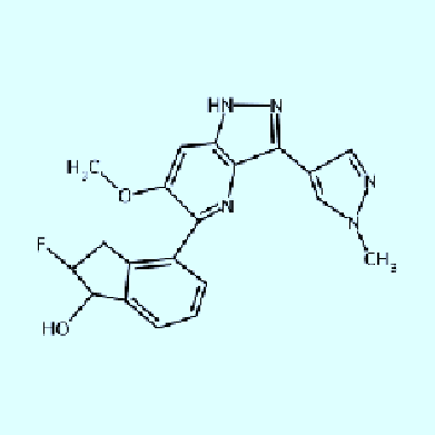 COc1cc2[nH]nc(-c3cnn(C)c3)c2nc1-c1cccc2c1CC(F)C2O